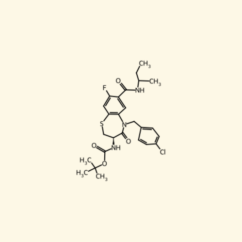 CCC(C)NC(=O)c1cc2c(cc1F)SC[C@H](NC(=O)OC(C)(C)C)C(=O)N2Cc1ccc(Cl)cc1